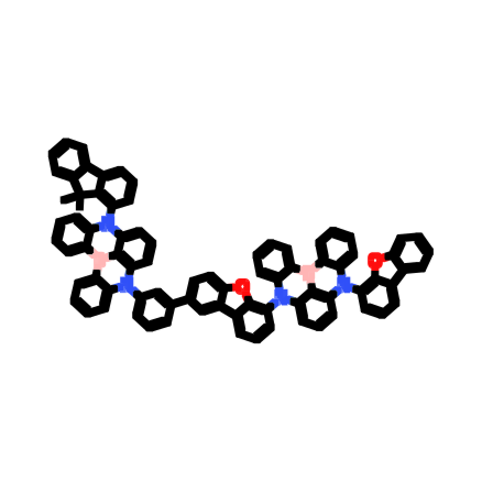 CC1(C)c2ccccc2-c2cccc(N3c4ccccc4B4c5ccccc5N(c5cccc(-c6ccc7oc8c(N9c%10ccccc%10B%10c%11ccccc%11N(c%11cccc%12c%11oc%11ccccc%11%12)c%11cccc9c%11%10)cccc8c7c6)c5)c5cccc3c54)c21